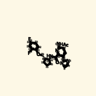 CC(=O)Nc1ccc(-n2nccn2)c(C(=O)N[C@H]2CCC[C@@H]2COc2ccc(F)cc2F)n1